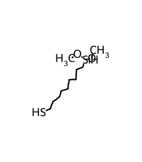 CO[SiH](CCCCCCCCCS)OC